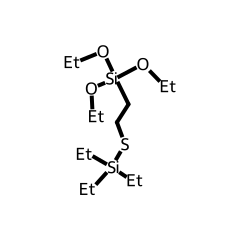 CCO[Si](CCS[Si](CC)(CC)CC)(OCC)OCC